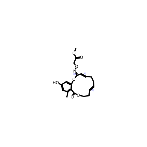 COC(=O)CO/N=C1\C=C\CC/C=C/CCOC(=O)c2c(C)cc(O)cc2C1